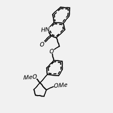 COC1CCCC1(OC)c1cccc(OCc2cc3ccccc3[nH]c2=O)c1